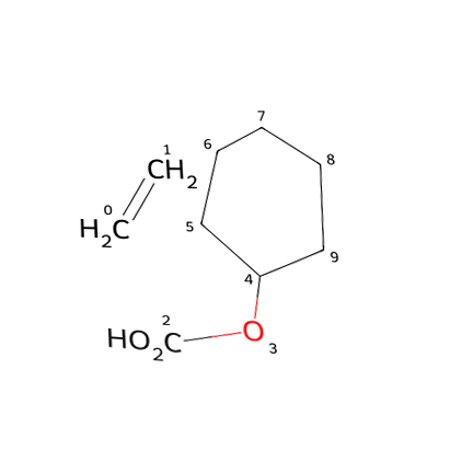 C=C.O=C(O)OC1CCCCC1